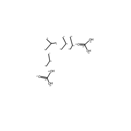 CC(C)C.CCC.CCC.CCC.O=C(O)O.O=C(O)O